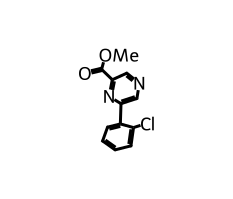 COC(=O)c1cncc(-c2ccccc2Cl)n1